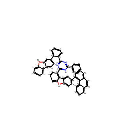 c1ccc(-c2nc(-c3ccccc3-c3ccc4c(c3)oc3ccccc34)nc(-c3cccc4oc5ccc(-c6cccc7ccc8ccccc8c67)cc5c34)n2)cc1